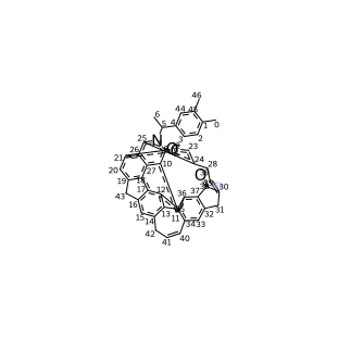 Cc1ccc(C(C)n2c(=O)c3c4c5c6c7cc8c5c5c(cc9ccc(c2c9c35)C/C=C2\Cc3cc(c-6c-4c3C2=O)C=CC7)C8)cc1C